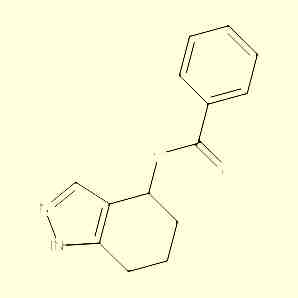 O=C(OC1CCCc2[nH]ncc21)c1ccccc1